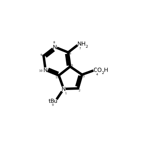 CC(C)(C)n1cc(C(=O)O)c2c(N)ncnc21